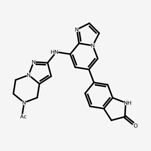 CC(=O)N1CCn2nc(Nc3cc(-c4ccc5c(c4)NC(=O)C5)cn4ccnc34)cc2C1